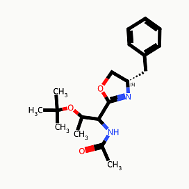 CC(=O)NC(C1=N[C@@H](Cc2ccccc2)CO1)C(C)OC(C)(C)C